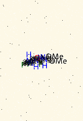 COc1ccc(CNc2ncnc3c(C(=O)Nc4c(C)ccc5c(Nc6ccc(F)cc6F)nccc45)cc(F)cc23)c(OC)c1